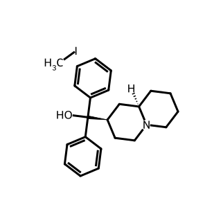 CI.OC(c1ccccc1)(c1ccccc1)[C@@H]1CCN2CCCC[C@@H]2C1